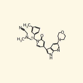 Cc1cccc([C@@H](CN(C)CC#N)n2ccc(-c3c[nH]c4ncc(N5CCOCC5)cc34)cc2=O)c1